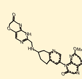 COc1ccc2ncc(=O)n(-c3cnc4c(c3)CCC(NCC3=NC=C5OCC(=O)N=C5N3)C4)c2n1